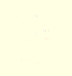 Br.CCCC1CN(CC(=O)c2cc(C(C)(C)C)c(O)c(C(C)(C)C)c2)C(=N)C1c1ccccn1